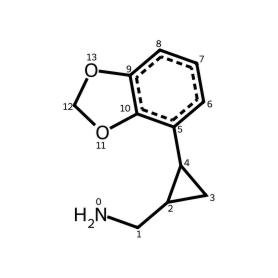 NCC1CC1c1cccc2c1OCO2